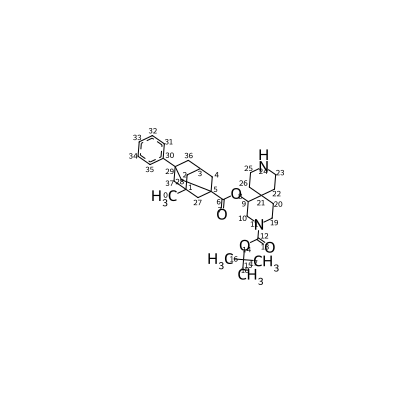 CC12CC3CC(C(=O)OC4CN(C(=O)OC(C)(C)C)CCC45CCNCC5)(C1)CC(c1ccccc1)(C3)C2